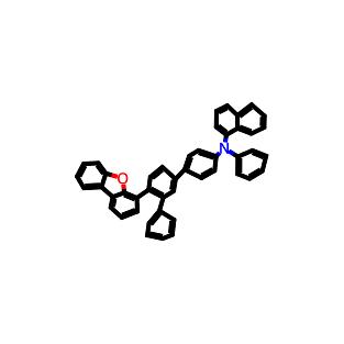 c1ccc(-c2cc(-c3ccc(N(c4ccccc4)c4cccc5ccccc45)cc3)ccc2-c2cccc3c2oc2ccccc23)cc1